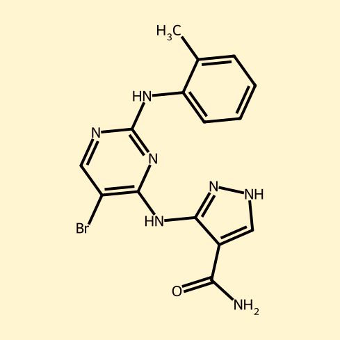 Cc1ccccc1Nc1ncc(Br)c(Nc2n[nH]cc2C(N)=O)n1